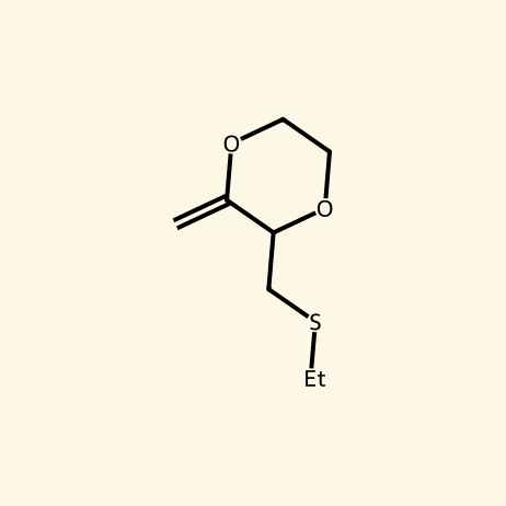 C=C1OCCOC1CSCC